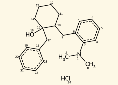 CN(C)c1ccccc1CC1CCCCC1(O)Cc1ccccc1.Cl